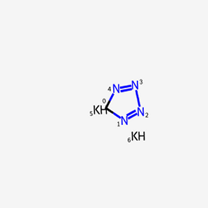 C1N=NN=N1.[KH].[KH]